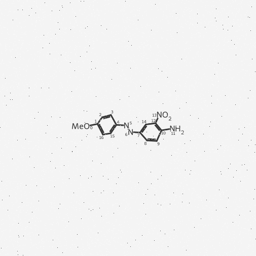 COc1ccc(N=Nc2ccc(N)c([N+](=O)[O-])c2)cc1